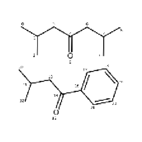 CC(C)CC(=O)CC(C)C.CC(C)CC(=O)c1ccccc1